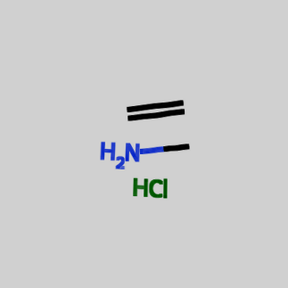 C=C.CN.Cl